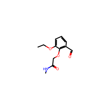 CCOc1cccc(C=O)c1OCC(=O)NC